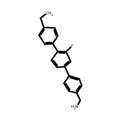 CCc1ccc(-c2ccc(-c3ccc(CN)cc3)cc2F)cc1